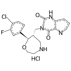 Cl.O=c1[nH]c2cccnc2c(=O)n1C[C@@H]1CNCCO[C@H]1c1ccc(Cl)c(F)c1